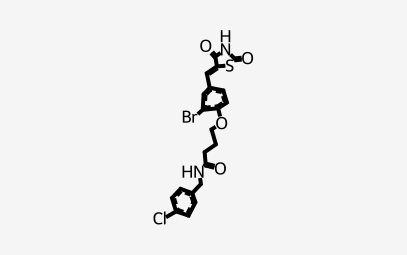 O=C(CCCOc1ccc(/C=C2\SC(=O)NC2=O)cc1Br)NCc1ccc(Cl)cc1